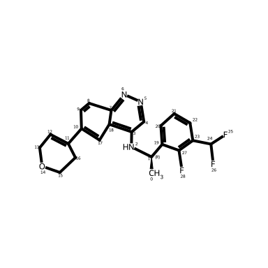 C[C@@H](Nc1cnnc2ccc(C3=CCOCC3)cc12)c1cccc(C(F)F)c1F